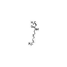 C=CC(=O)NCCSCCSC